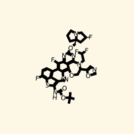 CC(C)(C)OC(=O)Nc1sc2c(F)ccc(-c3c(Cl)c4c5c(nc(OC[C@@]67CCCN6C[C@H](F)C7)nc5c3F)N(CC(F)F)C(c3cnco3)CO4)c2c1C#N